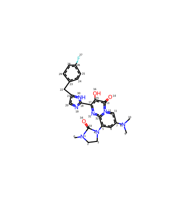 CN1CCN(c2cc(N(C)C)cn3c(=O)c(O)c(-c4ncc(Cc5ccc(F)cc5)[nH]4)nc23)C1=O